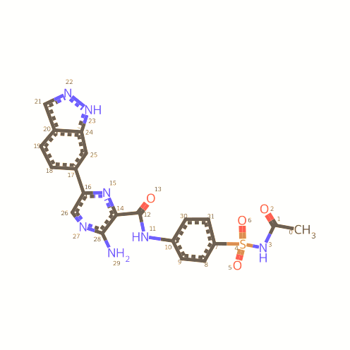 CC(=O)NS(=O)(=O)c1ccc(NC(=O)c2nc(-c3ccc4cn[nH]c4c3)cnc2N)cc1